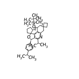 CC(C)c1ccc([C@H]2OC3(CCCC3I)c3c4c(nc(C(C)C)c32)CC2(CCC2)CC4O[Si](C)(C)C(C)(C)C)cc1